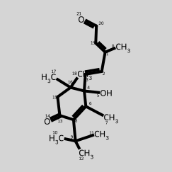 CC(C=CC1(O)C(C)=C(C(C)(C)C)C(=O)CC1(C)C)=CC=O